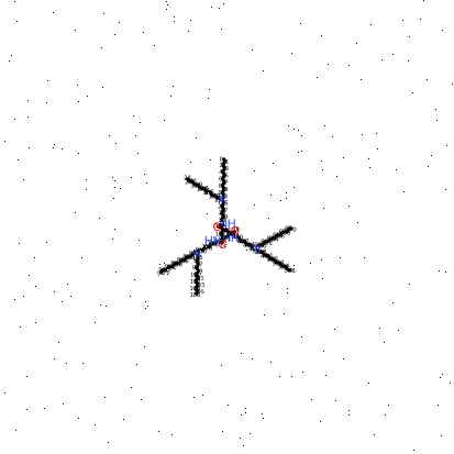 CCCCCCCCCCCCN(CCCCCCCCCCCC)CCCCCCNC(=O)C1CC(C(=O)NCCCCCCN(CCCCCCCCCCCC)CCCCCCCCCCCC)CC(C(=O)NCCCCCCN(CCCCCCCCCCCC)CCCCCCCCCCCC)C1